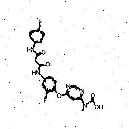 CN(C(=O)O)c1cc(Oc2ccc(NC(=O)CC(=O)Nc3ccc(F)cc3)cc2F)ncn1